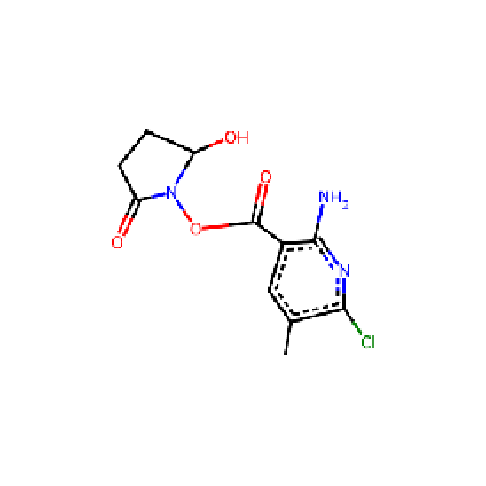 Cc1cc(C(=O)ON2C(=O)CCC2O)c(N)nc1Cl